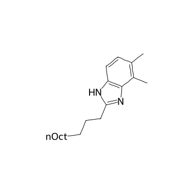 CCCCCCCCCCCc1nc2c(C)c(C)ccc2[nH]1